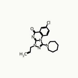 C=CCn1nc(N2CCCCCC2)n2c3ccc(Cl)cc3c(=O)nc12